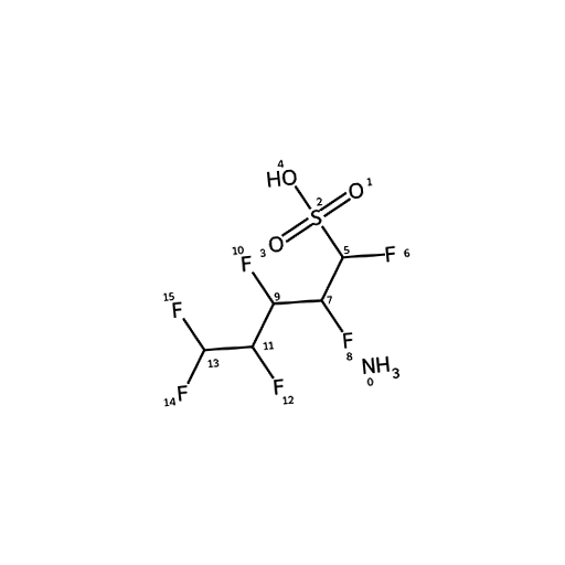 N.O=S(=O)(O)C(F)C(F)C(F)C(F)C(F)F